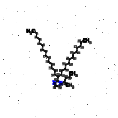 CCCCCCCCCCCCCCCC(CCCCCCCCCCCCC)c1nccn1C(C)CCC